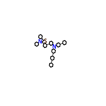 c1ccc(-c2ccc(-c3ccc(N(c4ccc(-c5ccccc5)cc4)c4cccc(-c5cccc6c5sc5c7ccccc7n(-c7ccccc7)c65)c4)cc3)cc2)cc1